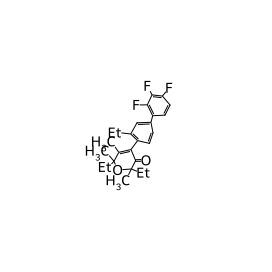 CCc1cc(-c2ccc(F)c(F)c2F)ccc1C1=C(C)C(C)(CC)OC(C)(CC)C1=O